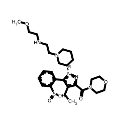 CCc1c(C(=O)N2CCOCC2)nn([C@H]2CCCN(CCNCCOC)C2)c1-c1ccccc1S(=O)O